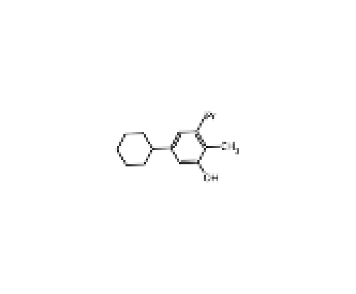 Cc1c(O)cc(C2CCCCC2)cc1C(C)C